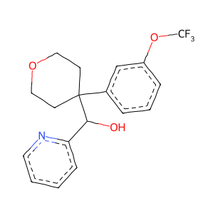 OC(c1ccccn1)C1(c2cccc(OC(F)(F)F)c2)CCOCC1